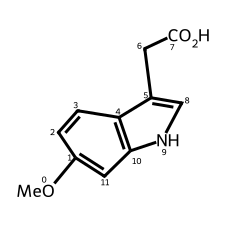 COc1ccc2c(CC(=O)O)c[nH]c2c1